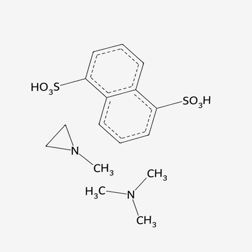 CN(C)C.CN1CC1.O=S(=O)(O)c1cccc2c(S(=O)(=O)O)cccc12